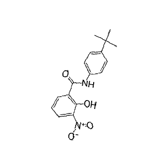 CC(C)(C)c1ccc(NC(=O)c2cccc([N+](=O)[O-])c2O)cc1